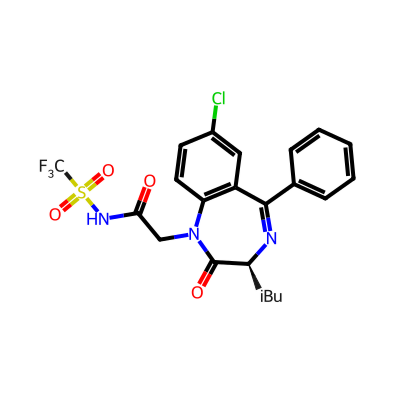 CCC(C)[C@@H]1N=C(c2ccccc2)c2cc(Cl)ccc2N(CC(=O)NS(=O)(=O)C(F)(F)F)C1=O